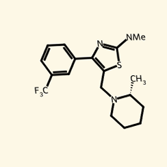 CNc1nc(-c2cccc(C(F)(F)F)c2)c(CN2CCCC[C@H]2C)s1